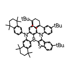 Cc1cc2c3c(c1)N(c1ccc(C(C)(C)C)cc1C1=CC=C(C(C)(C)C)CC1)c1c(sc4ccc(C(C)(C)C)cc14)B3c1cc3c(cc1N2c1ccc2c(c1)C(C)(C)CCC2(C)C)C(C)(C)CCC3(C)C